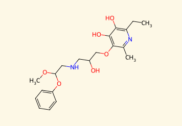 CCc1nc(C)c(OCC(O)CNCC(OC)Oc2ccccc2)c(O)c1O